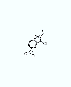 CCn1nc2ccc([N+](=O)[O-])cc2c1Cl